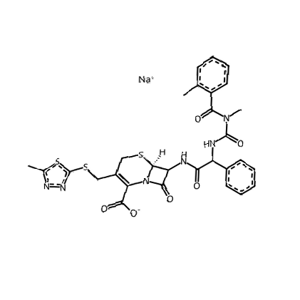 Cc1nnc(SCC2=C(C(=O)[O-])N3C(=O)C(NC(=O)C(NC(=O)N(C)C(=O)c4ccccc4C)c4ccccc4)[C@@H]3SC2)s1.[Na+]